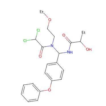 CCOCCN(C(=O)C(Cl)Cl)C(NC(=O)C(O)CC)c1ccc(Oc2ccccc2)cc1